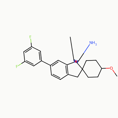 COC1CCC2(CC1)Cc1ccc(-c3cc(F)cc(F)c3)cc1C21N=C(C)C(N)=N1